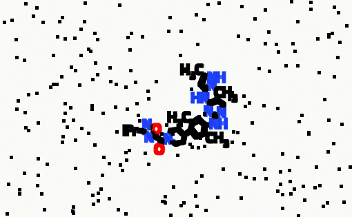 Cc1cc(Nc2nc(Nc3cc(C)c(C4CCN(C(=O)c5nc(C(C)C)no5)CC4)cc3C)ncc2C)n[nH]1